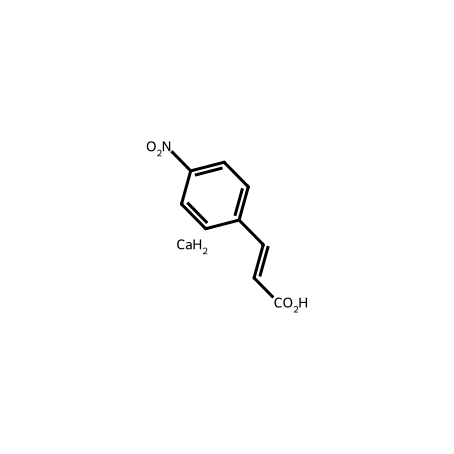 O=C(O)C=Cc1ccc([N+](=O)[O-])cc1.[CaH2]